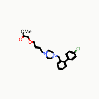 COC(=O)COCC=CCN1CCN(Cc2ccccc2-c2ccc(Cl)cc2)CC1